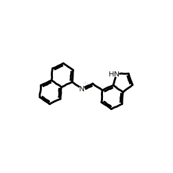 C(=N\c1cccc2ccccc12)/c1cccc2cc[nH]c12